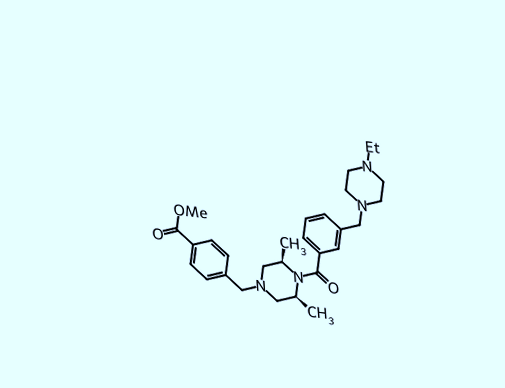 CCN1CCN(Cc2cccc(C(=O)N3[C@H](C)CN(Cc4ccc(C(=O)OC)cc4)C[C@@H]3C)c2)CC1